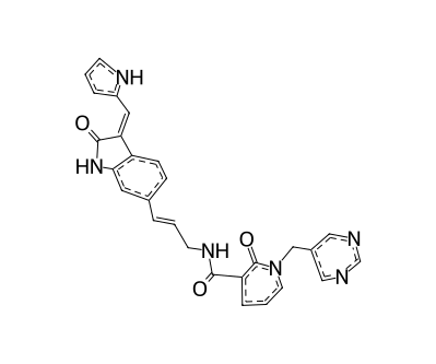 O=C1Nc2cc(/C=C/CNC(=O)c3cccn(Cc4cncnc4)c3=O)ccc2C1=Cc1ccc[nH]1